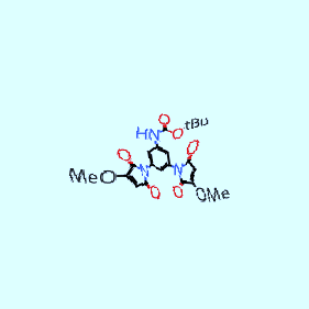 COC1=CC(=O)N(c2cc(NC(=O)OC(C)(C)C)cc(N3C(=O)C=C(OC)C3=O)c2)C1=O